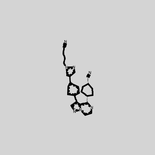 N#CCCCn1cc(-c2ccc(-c3cnn4ccnc([C@H]5CC[C@@H](C#N)CC5)c34)cc2)cn1